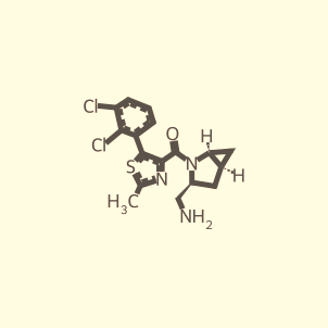 Cc1nc(C(=O)N2[C@H](CN)C[C@@H]3C[C@@H]32)c(-c2cccc(Cl)c2Cl)s1